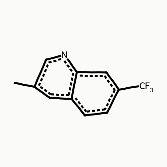 Cc1cnc2cc(C(F)(F)F)ccc2c1